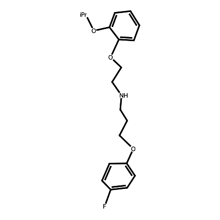 CC(C)Oc1ccccc1OCCNCCCOc1ccc(F)cc1